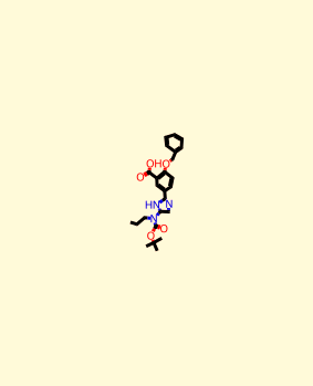 CCCN(C(=O)OC(C)(C)C)C1CN=C(c2ccc(OCc3ccccc3)c(C(=O)O)c2)N1